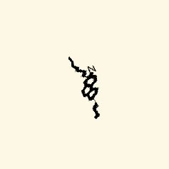 CCCCCCC[C@@]1(C#N)CCC2C(CCC3C[C@@H](CCCC)CCC32)C1